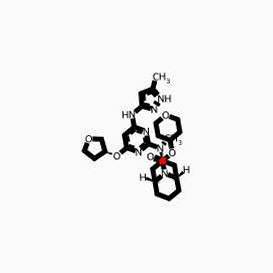 Cc1cc(Nc2cc(O[C@@H]3CCOC3)nc(N(C)[C@@H]3C[C@H]4CCC[C@@H](C3)N4C(=O)OC3CCOCC3)n2)n[nH]1